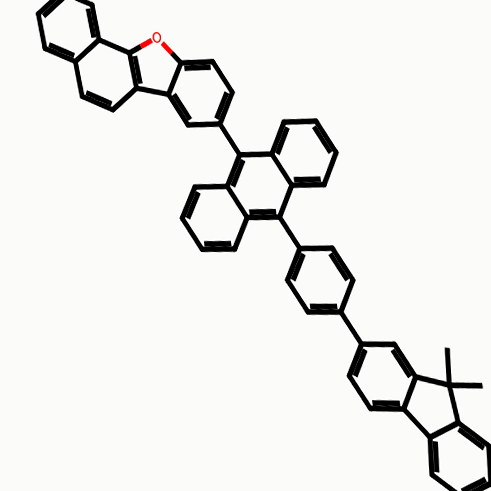 CC1(C)c2ccccc2-c2ccc(-c3ccc(-c4c5ccccc5c(-c5ccc6oc7c8ccccc8ccc7c6c5)c5ccccc45)cc3)cc21